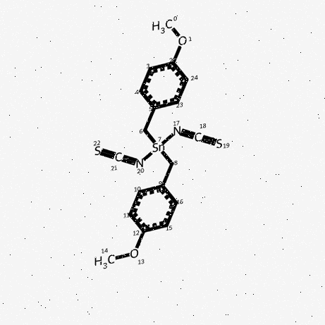 COc1ccc([CH2][Sn]([CH2]c2ccc(OC)cc2)([N]=C=S)[N]=C=S)cc1